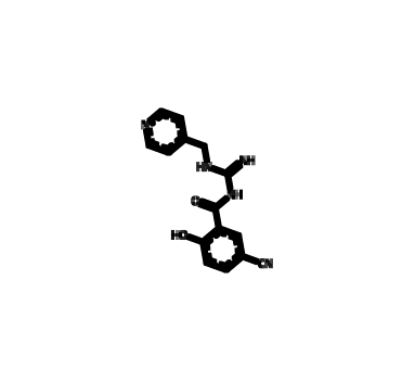 N#Cc1ccc(O)c(C(=O)NC(=N)NCc2ccncc2)c1